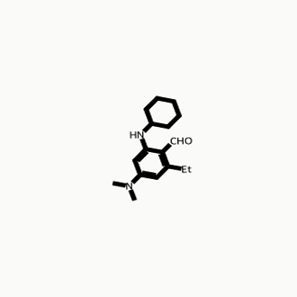 CCc1cc(N(C)C)cc(NC2CCCCC2)c1C=O